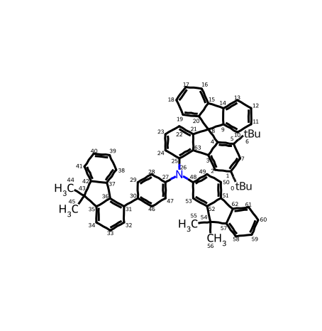 CC(C)(C)c1cc2c(c(C(C)(C)C)c1)C1(c3ccccc3-c3ccccc31)c1cccc(N(c3ccc(-c4cccc5c4-c4ccccc4C5(C)C)cc3)c3ccc4c(c3)C(C)(C)c3ccccc3-4)c1-2